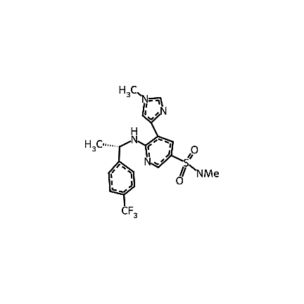 CNS(=O)(=O)c1cnc(N[C@@H](C)c2ccc(C(F)(F)F)cc2)c(-c2cn(C)cn2)c1